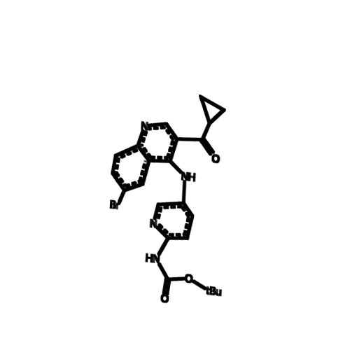 CC(C)(C)OC(=O)Nc1ccc(Nc2c(C(=O)C3CC3)cnc3ccc(Br)cc23)cn1